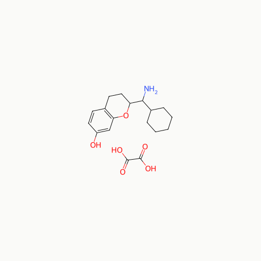 NC(C1CCCCC1)C1CCc2ccc(O)cc2O1.O=C(O)C(=O)O